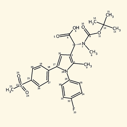 Cc1c([C@H](C(=O)O)N(C)C(=O)OC(C)(C)C)cc(-c2ccc(S(C)(=O)=O)cc2)n1-c1ccc(F)cc1